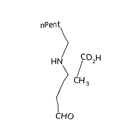 CC(=O)O.CCCCCCNCCC=O